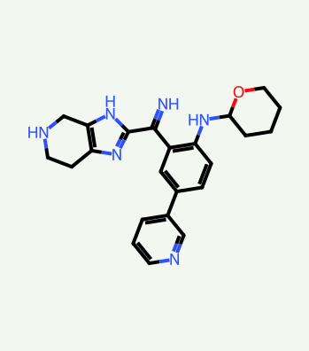 N=C(c1nc2c([nH]1)CNCC2)c1cc(-c2cccnc2)ccc1NC1CCCCO1